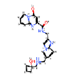 O=C(NCc1cn2cc(CNCC3(O)CCC3)ccc2n1)c1cc(=O)n2ccccc2n1